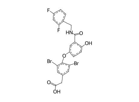 O=C(O)Cc1cc(Br)c(Oc2ccc(O)c(C(=O)NCc3ccc(F)cc3F)c2)c(Br)c1